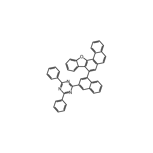 c1ccc(-c2nc(-c3ccccc3)nc(-c3cc(-c4cc5ccc6ccccc6c5c5oc6ccccc6c45)c4ccccc4c3)n2)cc1